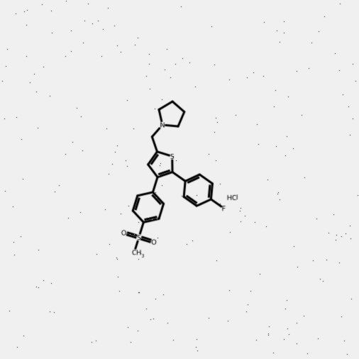 CS(=O)(=O)c1ccc(-c2cc(CN3CCCC3)sc2-c2ccc(F)cc2)cc1.Cl